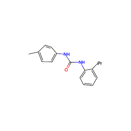 Cc1ccc(NC(=O)Nc2ccccc2C(C)C)cc1